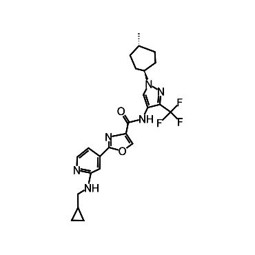 C[C@H]1CC[C@H](n2cc(NC(=O)c3coc(-c4ccnc(NCC5CC5)c4)n3)c(C(F)(F)F)n2)CC1